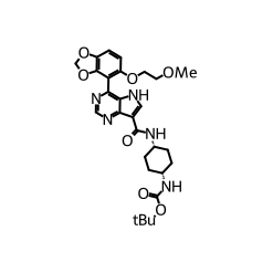 COCCOc1ccc2c(c1-c1ncnc3c(C(=O)N[C@H]4CC[C@@H](NC(=O)OC(C)(C)C)CC4)c[nH]c13)OCO2